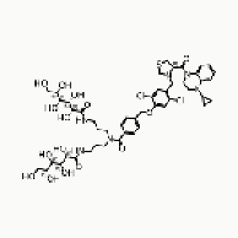 O=C(NCCCN(CCCNC(=O)[C@H](O)[C@@H](O)[C@H](O)[C@H](O)CO)C(=O)c1ccc(COc2cc(Cl)c(CN3CSC[C@H]3C(=O)N3CCN(C4CC4)c4ccccc43)cc2Cl)cc1)[C@H](O)[C@@H](O)[C@H](O)[C@H](O)CO